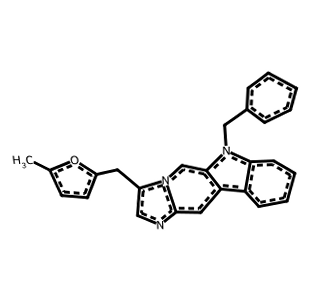 Cc1ccc(Cc2cnc3cc4c5ccccc5n(Cc5ccccc5)c4cn23)o1